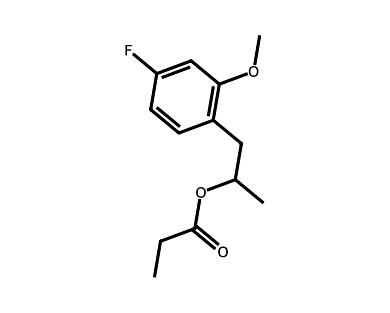 CCC(=O)OC(C)Cc1ccc(F)cc1OC